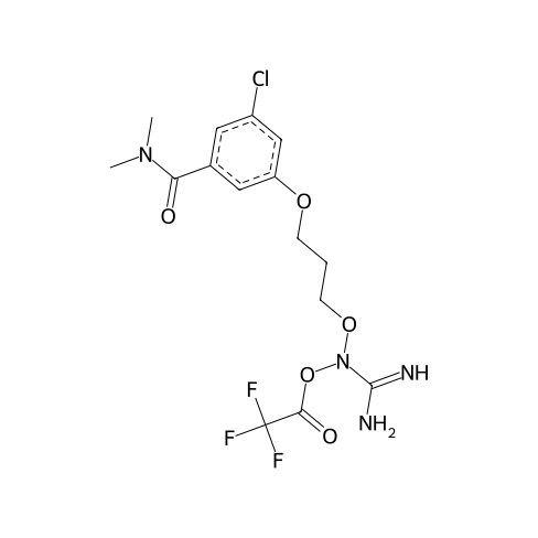 CN(C)C(=O)c1cc(Cl)cc(OCCCON(OC(=O)C(F)(F)F)C(=N)N)c1